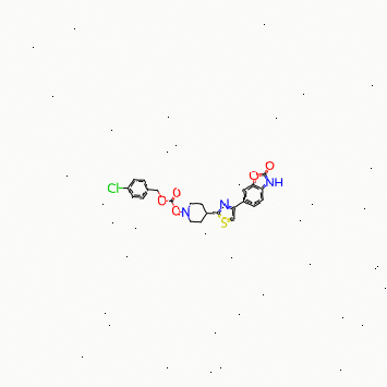 O=C(OCc1ccc(Cl)cc1)ON1CCC(c2nc(-c3ccc4[nH]c(=O)oc4c3)cs2)CC1